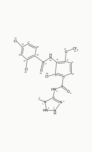 CN1NNN=C1NC(=O)c1ccc(OC(F)(F)F)c(NC(=O)c2ccc(Cl)cc2Cl)c1Cl